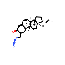 CC[C@H]1CC[C@H]2[C@@H]3C=CC4=CC(=O)C(CN=[N+]=[N-])C[C@]4(C)[C@H]3CC[C@]12C